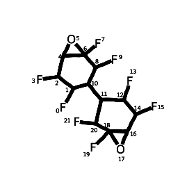 FC1C(F)C2OC2(F)C(F)C1C1C(F)C(F)C2OC2(F)C1F